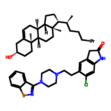 CC(C)CCC[C@@H](C)[C@H]1CC[C@H]2[C@@H]3CC=C4C[C@@H](O)CC[C@]4(C)[C@H]3CC[C@]12C.O=C1Cc2cc(CCN3CCN(c4nsc5ccccc45)CC3)c(Cl)cc2N1